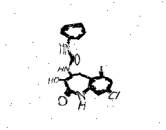 O=C(NC1=C(O)C(=O)Nc2cc(Cl)cc(I)c2C1)Nc1ccccc1